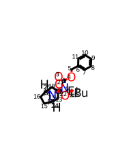 CCN(C(=O)OCc1ccccc1)C1C[C@H]2CC[C@@H](C1)N2C(=O)OC(C)(C)C